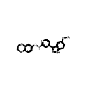 CC(C)Oc1ccc2[nH]nc(-c3ccnc(NOc4ccc5c(c4)OCCO5)c3)c2c1